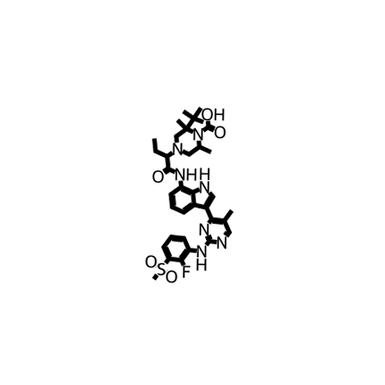 CCC(C(=O)Nc1cccc2c(-c3nc(Nc4cccc(S(C)(=O)=O)c4F)ncc3C)c[nH]c12)N1CC(C)N(C(=O)O)C(C)(C(C)(C)C)C1